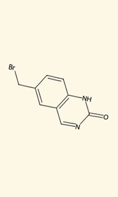 O=c1ncc2cc(CBr)ccc2[nH]1